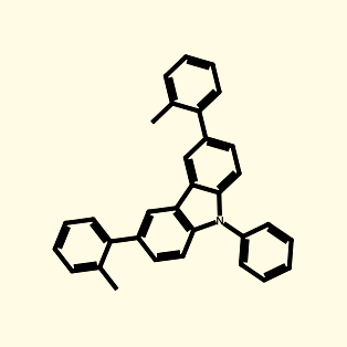 Cc1ccccc1-c1ccc2c(c1)c1cc(-c3ccccc3C)ccc1n2-c1ccccc1